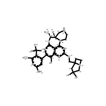 Cc1nc(N)cc(-c2nc3c4c(nc(OCC56CCN5CC(F)(F)C6)nc4c2F)N2CCNC[C@H]2[C@H](C)O3)c1C(F)(F)F